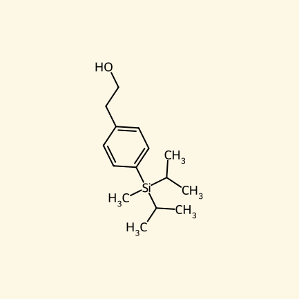 CC(C)[Si](C)(c1ccc(CCO)cc1)C(C)C